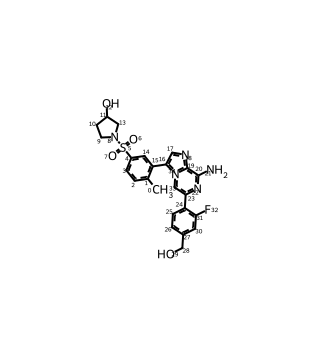 Cc1ccc(S(=O)(=O)N2CCC(O)C2)cc1-c1cnc2c(N)nc(-c3ccc(CO)cc3F)cn12